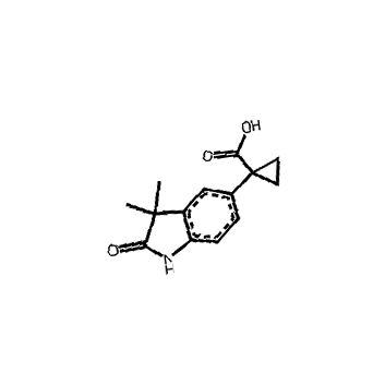 CC1(C)C(=O)Nc2ccc(C3(C(=O)O)CC3)cc21